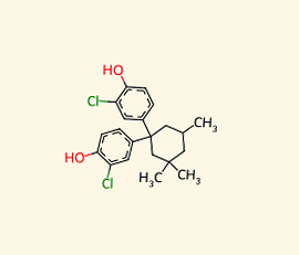 CC1CC(C)(C)CC(c2ccc(O)c(Cl)c2)(c2ccc(O)c(Cl)c2)C1